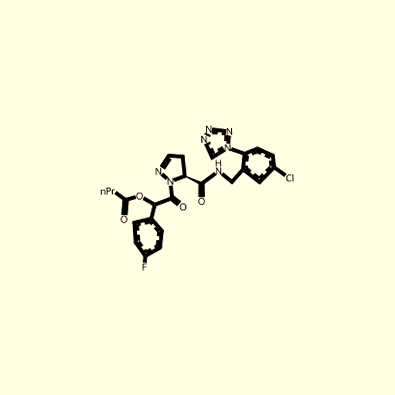 CCCC(=O)OC(C(=O)N1N=CC[C@H]1C(=O)NCc1cc(Cl)ccc1-n1cnnn1)c1ccc(F)cc1